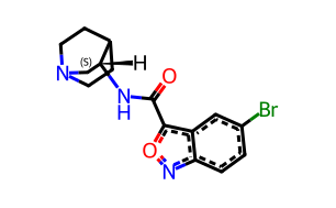 O=C(N[C@@H]1CN2CCC1CC2)c1onc2ccc(Br)cc12